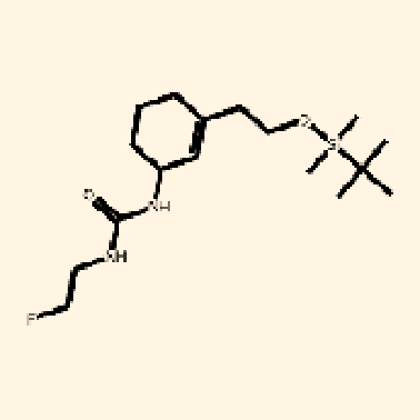 CC(C)(C)[Si](C)(C)OCCC1=CC(NC(=O)NCCF)CCC1